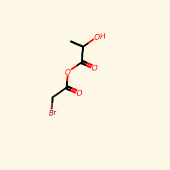 CC(O)C(=O)OC(=O)CBr